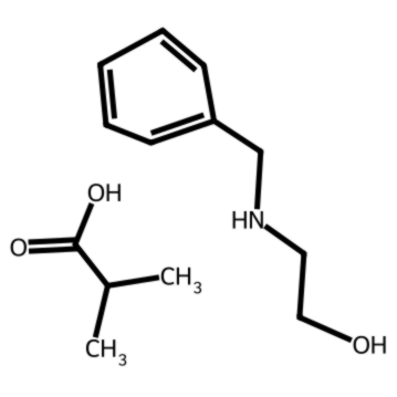 CC(C)C(=O)O.OCCNCc1ccccc1